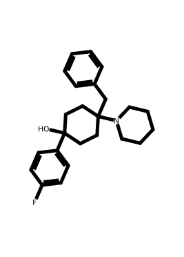 OC1(c2ccc(F)cc2)CCC(Cc2ccccc2)(N2CCCCC2)CC1